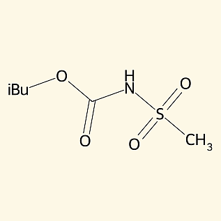 CCC(C)OC(=O)NS(C)(=O)=O